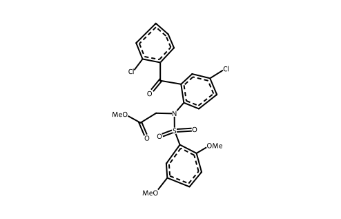 COC(=O)CN(c1ccc(Cl)cc1C(=O)c1ccccc1Cl)S(=O)(=O)c1cc(OC)ccc1OC